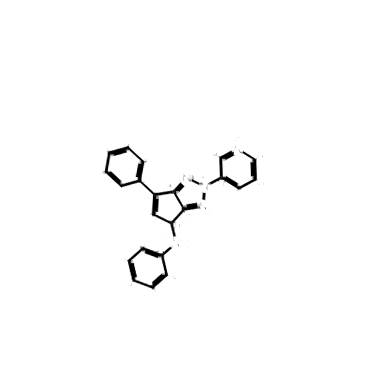 C1=C(c2ccccc2)c2nn(-c3cccnc3)nc2C1Nc1ccccc1